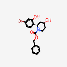 O=C(OCc1ccccc1)N1CC[C@H](O)C[C@H]1c1ccc(Br)cc1O